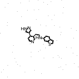 C(=C/c1cnccc1-c1cn[nH]c1)/Nc1ccc2ccsc2c1